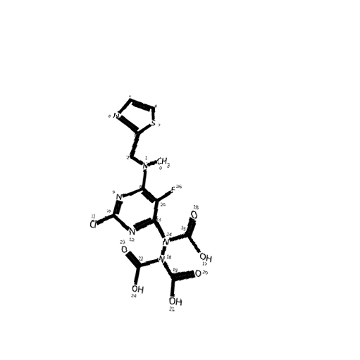 CN(Cc1nccs1)c1nc(Cl)nc(N(C(=O)O)N(C(=O)O)C(=O)O)c1F